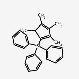 CC1=C(C)C(C)C([Si](c2ccccc2)(c2ccccc2)c2ccccc2)=C1C